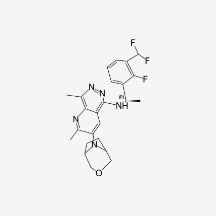 Cc1nc2c(C)nnc(N[C@H](C)c3cccc(C(F)F)c3F)c2cc1N1C2CCC1COC2